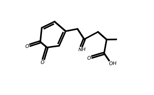 CC(CC(=N)CC1=CC(=O)C(=O)C=C1)C(=O)O